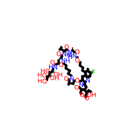 CC[C@@]1(O)C(=O)OCc2c1cc1n(c2=O)Cc2cc3c(CCCCOCNC(=O)[C@H](C)NC(=O)[C@@H](NC(=O)[C@H](CCC(=O)NC[C@H](O)[C@@H](O)[C@H](O)[C@H](O)CO)NC(=O)CCCCCN4C(=O)CC(C)C4=O)C(C)C)c(C)c(F)cc3nc2-1